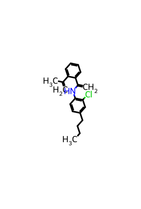 C=C(C)c1ccccc1C(=C)Nc1ccc(CCCC)cc1Cl